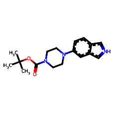 CC(C)(C)OC(=O)N1CCN(c2ccc3c[nH]cc3c2)CC1